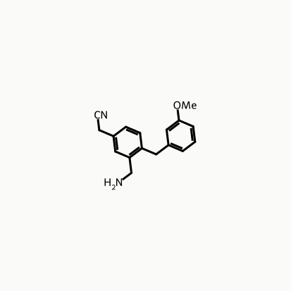 COc1cccc(Cc2ccc(CC#N)cc2CN)c1